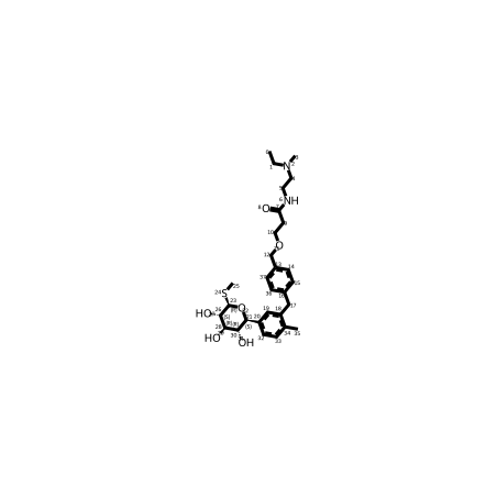 CCN(C)CCNC(=O)CCOCc1ccc(Cc2cc([C@@H]3O[C@H](SC)[C@@H](O)[C@H](O)[C@H]3O)ccc2C)cc1